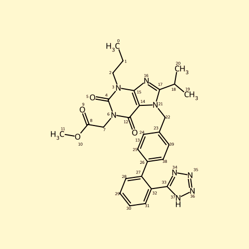 CCCn1c(=O)n(CC(=O)OC)c(=O)c2c1nc(C(C)C)n2Cc1ccc(-c2ccccc2-c2nnn[nH]2)cc1